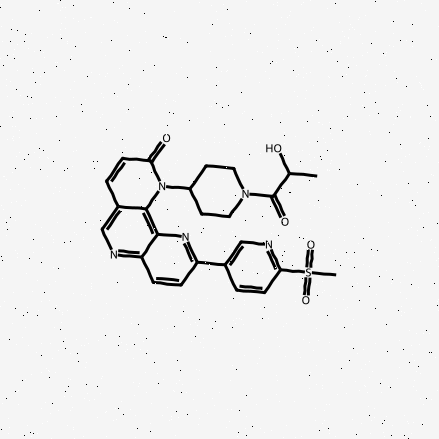 CC(O)C(=O)N1CCC(n2c(=O)ccc3cnc4ccc(-c5ccc(S(C)(=O)=O)nc5)nc4c32)CC1